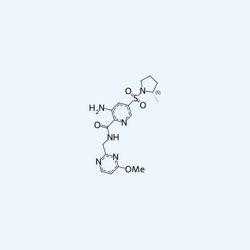 COc1ccnc(CNC(=O)c2ncc(S(=O)(=O)N3CCC[C@@H]3C)cc2N)n1